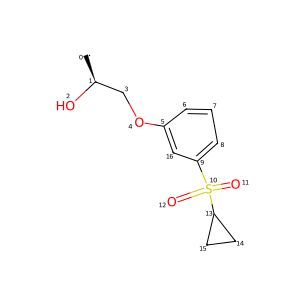 [CH2][C@H](O)COc1cccc(S(=O)(=O)C2CC2)c1